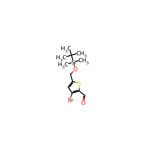 CC(C)(C)[Si](C)(C)OCc1cc(Br)c(C=O)s1